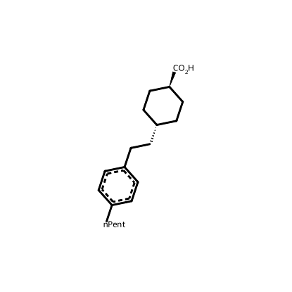 CCCCCc1ccc(CC[C@H]2CC[C@H](C(=O)O)CC2)cc1